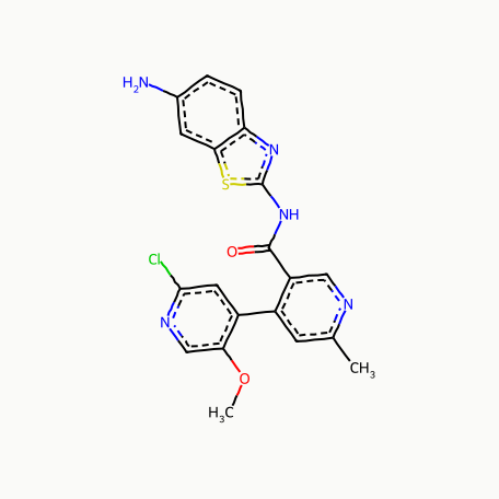 COc1cnc(Cl)cc1-c1cc(C)ncc1C(=O)Nc1nc2ccc(N)cc2s1